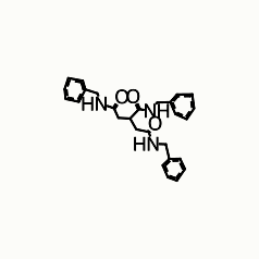 O=C(CC(CC(=O)NCc1ccccc1)C(=O)NCc1ccccc1)NCc1ccccc1